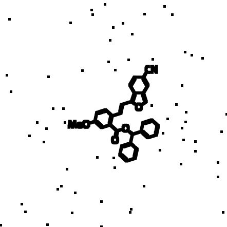 COc1ccc(C=Cc2occ3cc(C#N)ccc23)c(C(=O)OC(c2ccccc2)c2ccccc2)c1